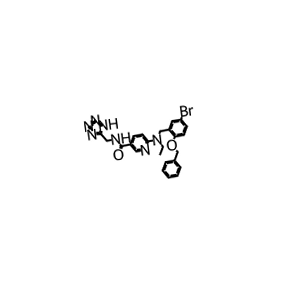 CCN(Cc1cc(Br)ccc1OCc1ccccc1)c1ccc(C(=O)NCc2nnn[nH]2)cn1